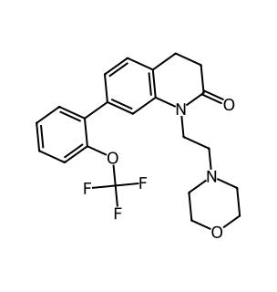 O=C1CCc2ccc(-c3ccccc3OC(F)(F)F)cc2N1CCN1CCOCC1